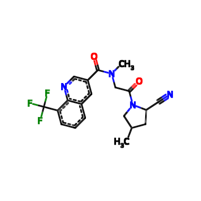 CC1CC(C#N)N(C(=O)CN(C)C(=O)c2cnc3c(C(F)(F)F)cccc3c2)C1